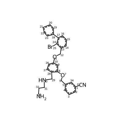 N#Cc1cccc(COc2cc(OCc3cccc(-c4ccccc4)c3Br)ccc2CNCCN)c1